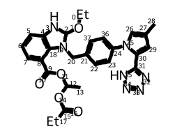 CCOC1Nc2cccc(C(=O)OC(C)OC(=O)CC)c2N1Cc1ccc(-n2cc(C)cc2-c2nnn[nH]2)cc1